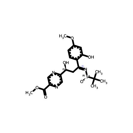 COC(=O)c1cnc([C@@H](O)C/C(=N\[S@@+]([O-])C(C)(C)C)c2ccc(OC)cc2O)cn1